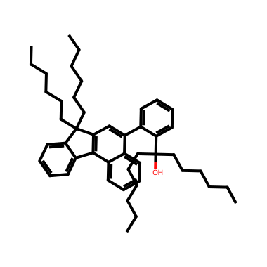 CCCCCCC(O)(CCCCCC)c1ccccc1-c1cc2c(c3ccccc13)-c1ccccc1C2(CCCCCC)CCCCCC